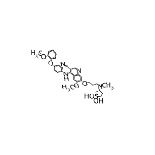 COc1cc2c(Nc3ccc(Oc4ccccc4OC)cc3)c(C#N)cnc2cc1OCCCN(C)C1CCS(O)(O)C1